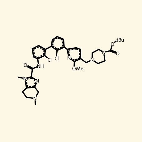 COc1nc(-c2cccc(-c3cccc(NC(=O)c4nc5c(n4C)CCN(C)C5)c3Cl)c2Cl)ccc1CN1CCN(C(=O)OC(C)(C)C)CC1